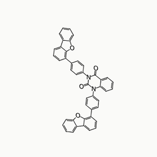 O=c1c2ccccc2n(-c2ccc(-c3cccc4c3oc3ccccc34)cc2)c(=O)n1-c1ccc(-c2cccc3c2oc2ccccc23)cc1